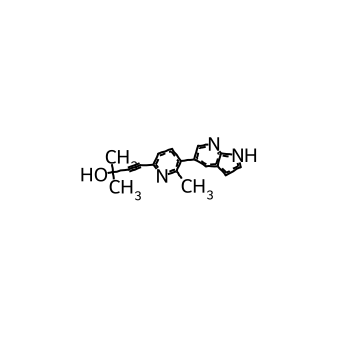 Cc1nc(C#CC(C)(C)O)ccc1-c1cnc2[nH]ccc2c1